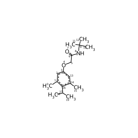 Cc1cc(OCC(=O)NC(C)(C)C)cc(C)c1C(C)C